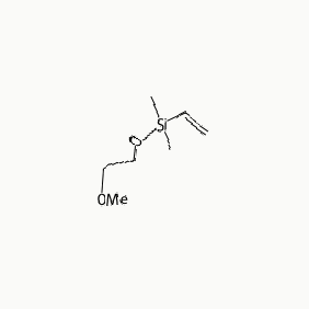 C=C[Si](C)(C)OCCOC